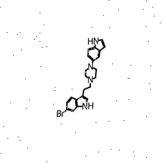 Brc1ccc2c(CCN3CCN(c4ccc5[nH]ccc5c4)CC3)c[nH]c2c1